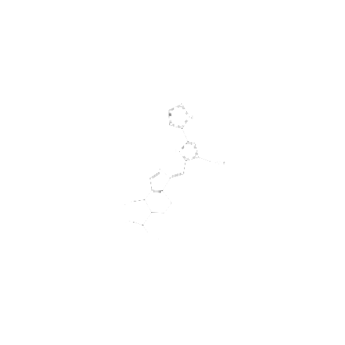 CCCCC(C)C1CCC2=C(C=NC2=Cc2[nH]c(-c3ccc[nH]3)cc2OC)C1C